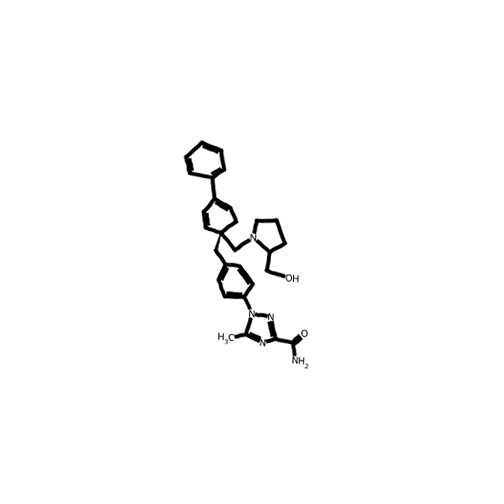 Cc1nc(C(N)=O)nn1-c1ccc(C[C@@]2(CN3CCCC3CO)C=CC(c3ccccc3)=CC2)cc1